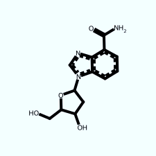 NC(=O)c1cccc2c1ncn2C1CC(O)C(CO)O1